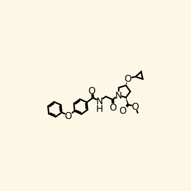 COC(=O)[C@@H]1C[C@@H](OC2CC2)CN1C(=O)CNC(=O)c1ccc(Oc2ccccc2)cc1